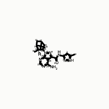 Cc1cc(NC(=O)c2nn(C3CC4CC([C@@H]3C)C4(C)C)c3ncnc(N)c23)n[nH]1